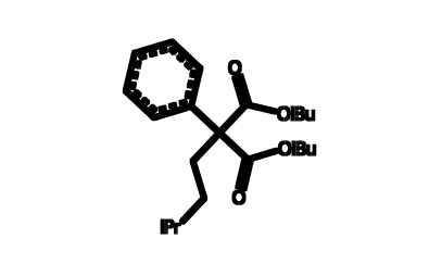 CC(C)CCC(C(=O)OCC(C)C)(C(=O)OCC(C)C)c1ccccc1